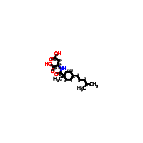 CC(C)CCC[C@H]1CC[C@](C)(C(=O)NC(CC(=O)O)C(=O)O)CC1